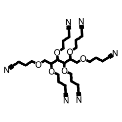 N#CCCCOCC(OCCCC#N)C(OCCCC#N)C(OCCCC#N)C(COCCCC#N)OCCCC#N